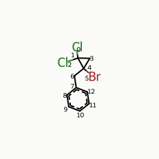 ClC1(Cl)CC1(Br)Cc1ccccc1